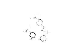 O=C(CC1CCN(C(=O)O)CC1)Nc1cc(Oc2ccc([N+](=O)[O-])cc2F)ccn1